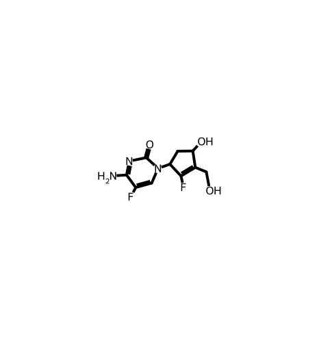 Nc1nc(=O)n(C2CC(O)C(CO)=C2F)cc1F